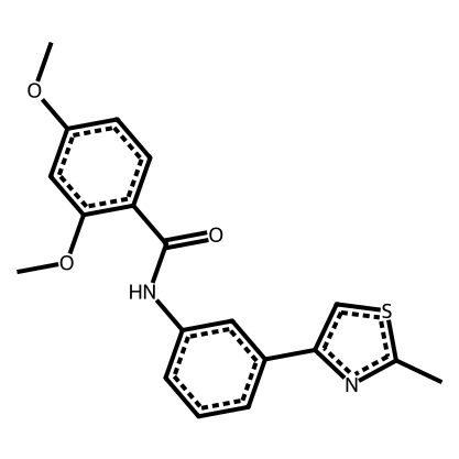 COc1ccc(C(=O)Nc2cccc(-c3csc(C)n3)c2)c(OC)c1